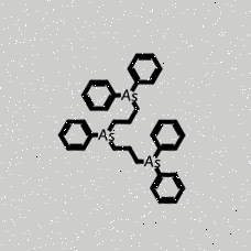 c1ccc([As](CCC[As](c2ccccc2)c2ccccc2)CCC[As](c2ccccc2)c2ccccc2)cc1